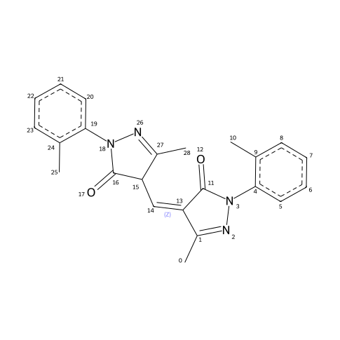 CC1=NN(c2ccccc2C)C(=O)/C1=C\C1C(=O)N(c2ccccc2C)N=C1C